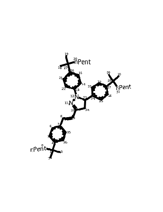 CCCCCC(C)(C)c1ccc(C=CC2=NN(c3ccc(C(C)(C)CCCCC)cc3)C(c3ccc(C(C)(C)CCCCC)cc3)C2)cc1